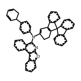 C1=CCC(c2ccc(N(C3=CC4=C(CC3)C3(c5ccccc54)c4ccccc4-c4ccccc43)c3nc4oc5ccccc5c4c4ccccc34)cc2)C=C1